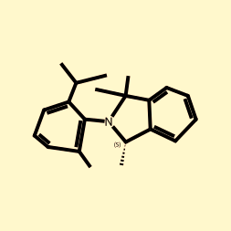 Cc1cccc(C(C)C)c1N1[C@@H](C)c2ccccc2C1(C)C